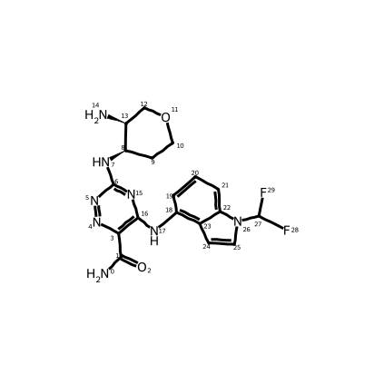 NC(=O)c1nnc(N[C@@H]2CCOC[C@@H]2N)nc1Nc1cccc2c1ccn2C(F)F